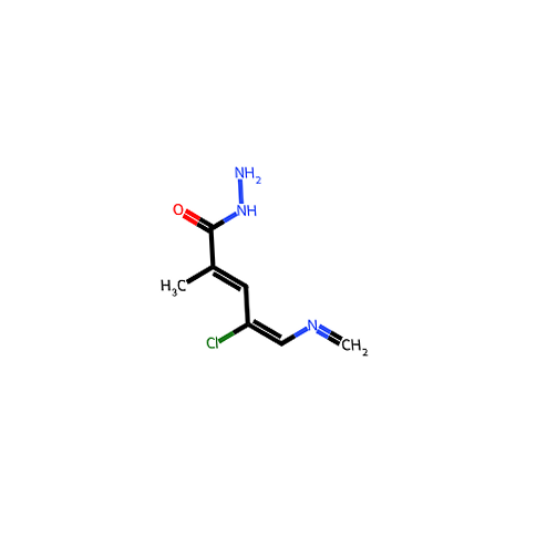 C=N/C=C(Cl)\C=C(/C)C(=O)NN